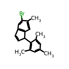 Cc1cc(C)c(C2C=Cc3cc(Br)c(C)cc32)c(C)c1